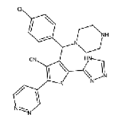 [C-]#[N+]c1c(-c2ccnnc2)sc(-c2nnc[nH]2)c1C(c1ccc(Cl)cc1)N1CCNCC1